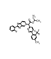 Cc1ccc(-c2ccc(C(C(=O)OC(C)C)n3ccc4nc(-c5ccccc5F)nc-4c3)nn2)c(C(F)(F)F)c1